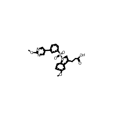 COc1ccc2c(c1)c(CCC(=O)O)cn2S(=O)(=O)c1cccc(-c2cnc(OC)nc2)c1